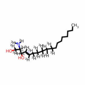 [2H]/C(=C(/[2H])[C@@]([2H])(O)[C@@]([2H])(N([2H])[2H])C([2H])([2H])O)C([2H])([2H])C([2H])([2H])C([2H])([2H])C([2H])([2H])C([2H])([2H])CCCCCCCC